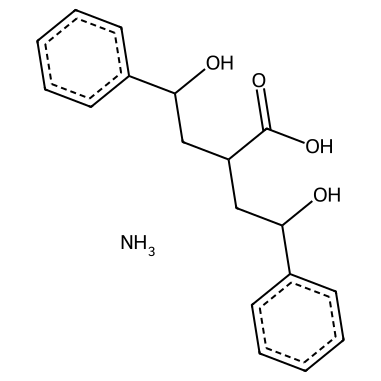 N.O=C(O)C(CC(O)c1ccccc1)CC(O)c1ccccc1